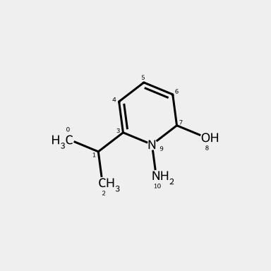 CC(C)C1=CC=CC(O)N1N